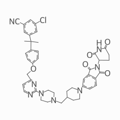 CC(C)(c1ccc(OCc2ccnc(N3CCN(CC4CCN(c5ccc6c(c5)C(=O)N(C5CCC(=O)NC5=O)C6=O)CC4)CC3)n2)cc1)c1cc(Cl)cc(C#N)c1